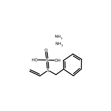 C=CS(Cc1ccccc1)=S(=O)(O)O.N.N